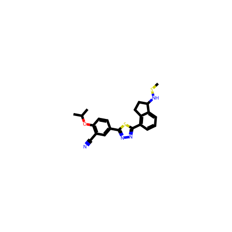 CSNC1CCc2c(-c3nnc(-c4ccc(OC(C)C)c(C#N)c4)s3)cccc21